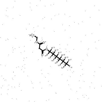 CCOC(=O)CC(=O)OC(F)(F)C(F)(F)C(F)(F)C(F)(F)C(F)(F)C(F)(F)F